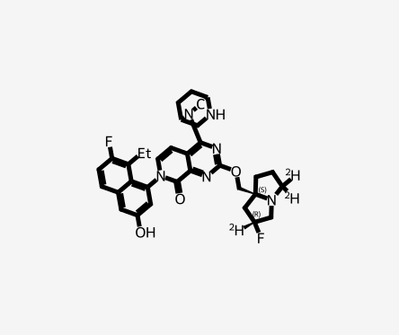 [2H]C1([2H])CC[C@@]2(COc3nc(N4CC5CCC4CN5)c4ccn(-c5cc(O)cc6ccc(F)c(CC)c56)c(=O)c4n3)C[C@@]([2H])(F)CN12